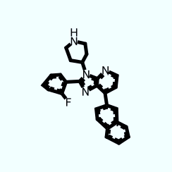 Fc1ccccc1-c1nc2c(-c3ccc4ccccc4c3)ccnc2n1C1CCNCC1